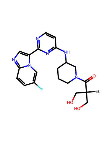 CCC(CO)(CO)C(=O)N1CCCC(Nc2ccnc(-c3cnc4ccc(F)cn34)n2)C1